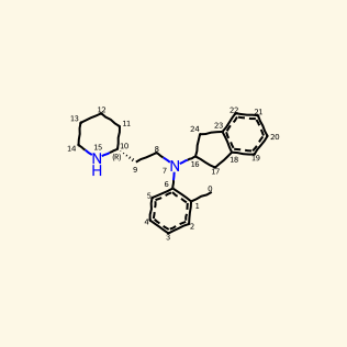 Cc1ccccc1N(CC[C@H]1CCCCN1)C1Cc2ccccc2C1